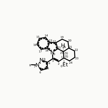 CC[C@@]12C=C(c3ccn(C)n3)n3c4c(c5ccccc53)CCC(CCC1)[C@H]42